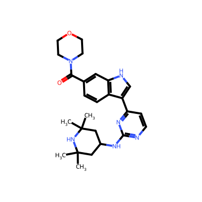 CC1(C)CC(Nc2nccc(-c3c[nH]c4cc(C(=O)N5CCOCC5)ccc34)n2)CC(C)(C)N1